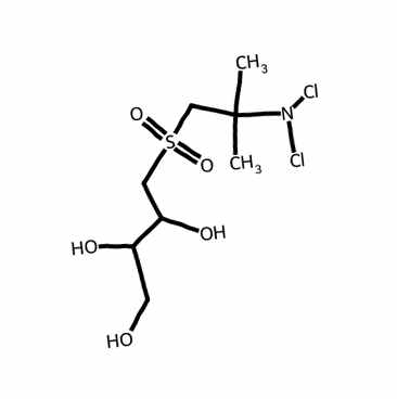 CC(C)(CS(=O)(=O)CC(O)C(O)CO)N(Cl)Cl